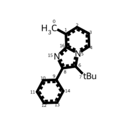 Cc1cccn2c(C(C)(C)C)c(-c3ccccc3)nc12